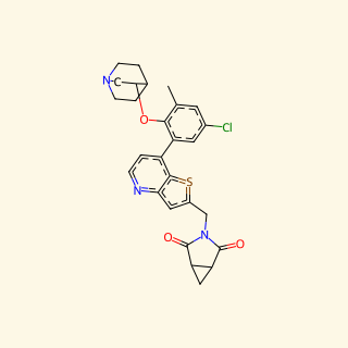 Cc1cc(Cl)cc(-c2ccnc3cc(CN4C(=O)C5CC5C4=O)sc23)c1OC1CN2CCC1CC2